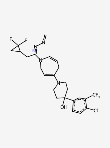 C=N/N=C(/CC1CC1(F)F)N1C=CCC(N2CCC(O)(c3ccc(Cl)c(C(F)(F)F)c3)CC2)=CC1